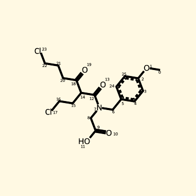 COc1ccc(CN(CC(=O)O)C(=O)C(CCCl)C(=O)CCCCl)cc1